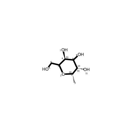 C[C@@H]1OC(CO)[C@@H](O)C(O)[C@@H]1O